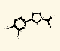 Nc1ccc(C2CCN(C(=O)O)C2)cc1Cl